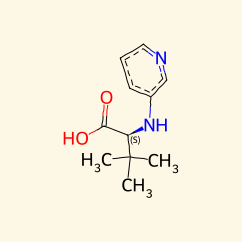 CC(C)(C)[C@H](Nc1cccnc1)C(=O)O